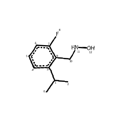 CC(C)c1cccc(F)c1CNO